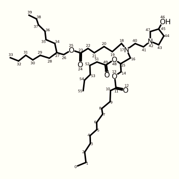 CCCCCCCCCCCC(=O)OCC(CN(CCCCCC(=O)OCC(CCCCCC)CCCCCC)CCN1CCC(O)C1)OC(=O)CCCCC